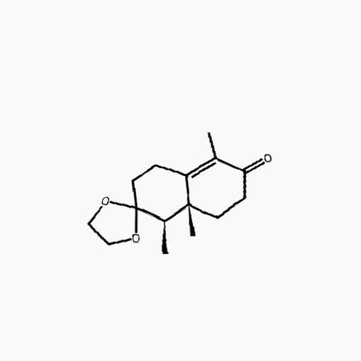 CC1=C2CCC3(OCCO3)[C@H](C)[C@@]2(C)CCC1=O